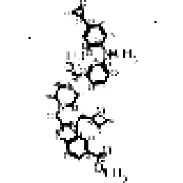 COC(=O)c1ccc2nc(CN3CCN(C(=O)c4cccc(N(C)c5ccc(C6CC6)cc5C)c4)CC3)n(CC3CCO3)c2c1